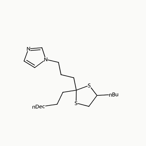 CCCCCCCCCCCCC1(CCCn2ccnc2)SCC(CCCC)S1